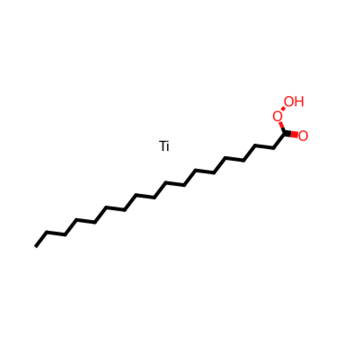 CCCCCCCCCCCCCCCCCC(=O)OO.[Ti]